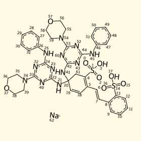 O=S(=O)(O)C1=C(C=Cc2ccccc2S(=O)(=O)O)C=CC(Nc2nc(Nc3ccccc3)nc(N3CCOCC3)n2)(Nc2nc(Nc3ccccc3)nc(N3CCOCC3)n2)C1.[Na]